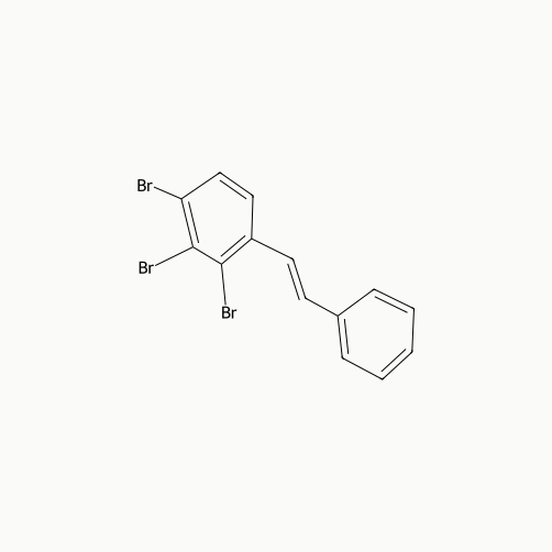 Brc1ccc(C=Cc2ccccc2)c(Br)c1Br